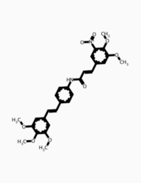 COc1cc(/C=C/c2ccc(NC(=O)/C=C/c3cc(OC)c(OC)c([N+](=O)[O-])c3)cc2)cc(OC)c1OC